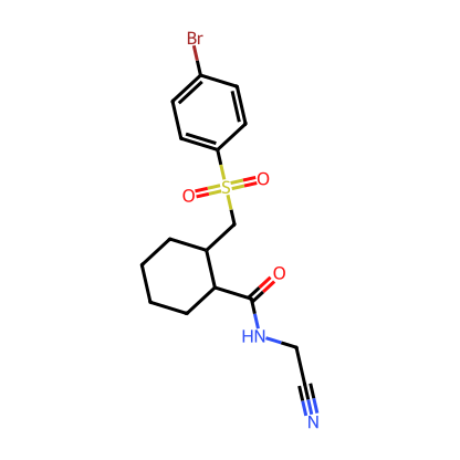 N#CCNC(=O)C1CCCCC1CS(=O)(=O)c1ccc(Br)cc1